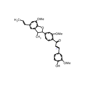 CC=Cc1cc(OC)c2c(c1)C(C)C(c1ccc(C(=O)/C=C/c3ccc(O)c(OC)c3)c(OC)c1)O2